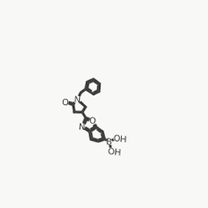 O=C1CC(c2nc3ccc(B(O)O)cc3o2)CN1Cc1ccccc1